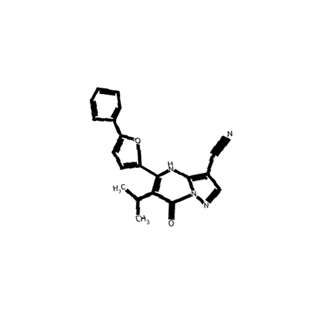 CC(C)c1c(-c2ccc(-c3ccccc3)o2)[nH]c2c(C#N)cnn2c1=O